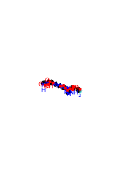 Nc1ncnc2c1c(-c1ccc(Oc3ccc(F)cc3)cc1)nn2C1CCN(C2CN(C3CN(c4ccc5c(c4)C(=O)N(C4CCC(=O)NC4O)C5=O)C3)C2)CC1